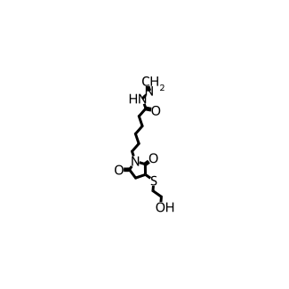 C=NNC(=O)CCCCCN1C(=O)CC(SCCO)C1=O